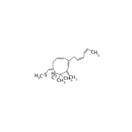 C=C1/C=C(C/C=C\C=C/C)\C=C/C/C(=C/SC)C(C)C1(C)C